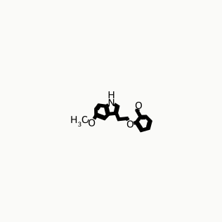 COc1ccc2[nH]cc(CCOc3ccccc3C=O)c2c1